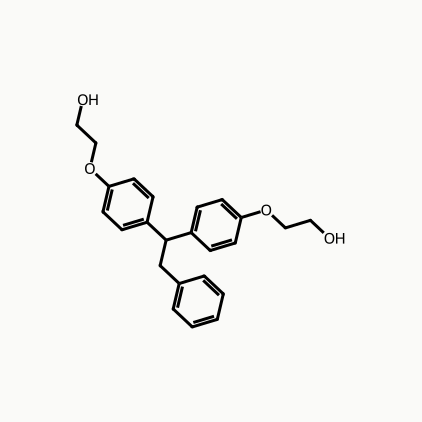 OCCOc1ccc(C(Cc2ccccc2)c2ccc(OCCO)cc2)cc1